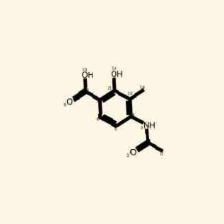 CC(=O)Nc1ccc(C(=O)O)c(O)c1C